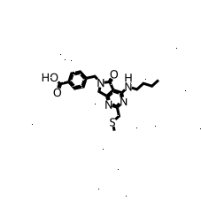 CCCCNc1nc(CSC)nc2c1C(=O)N(Cc1ccc(C(=O)O)cc1)C2